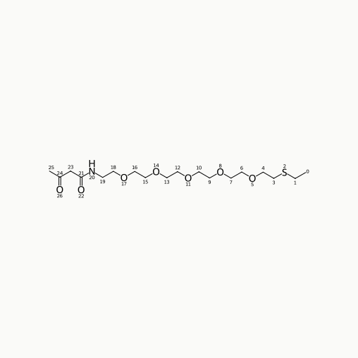 CCSCCOCCOCCOCCOCCOCCNC(=O)CC(C)=O